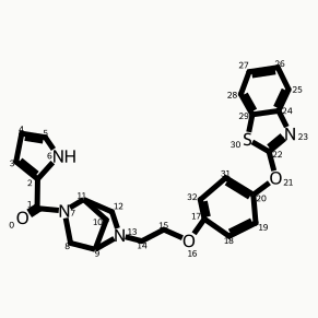 O=C(c1ccc[nH]1)N1CC2CC1CN2CCOc1ccc(Oc2nc3ccccc3s2)cc1